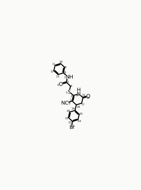 N#CC1=C(SCC(=O)Nc2ccccc2)NC(=O)CC1c1ccc(Br)cc1